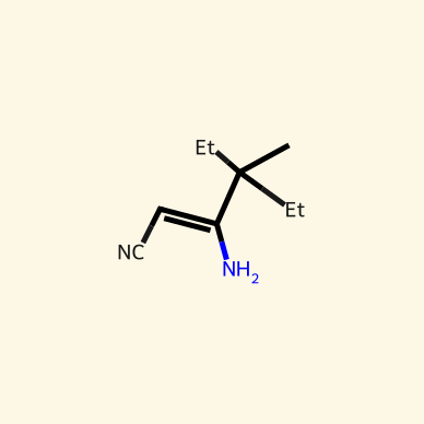 CCC(C)(CC)C(N)=CC#N